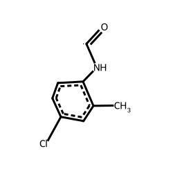 Cc1cc(Cl)ccc1N[C]=O